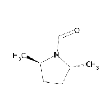 C[C@@H]1CC[C@@H](C)N1C=O